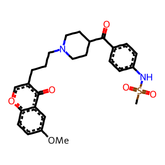 COc1ccc2occ(CCCN3CCC(C(=O)c4ccc(NS(C)(=O)=O)cc4)CC3)c(=O)c2c1